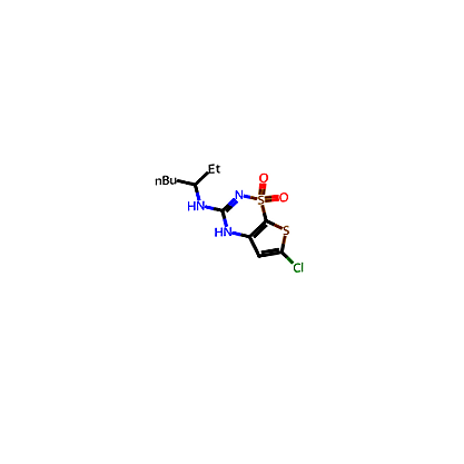 CCCCC(CC)NC1=NS(=O)(=O)c2sc(Cl)cc2N1